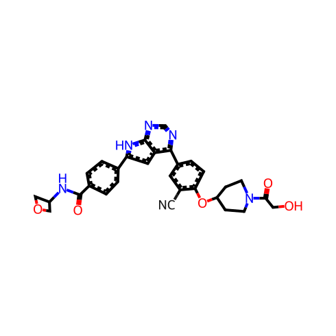 N#Cc1cc(-c2ncnc3[nH]c(-c4ccc(C(=O)NC5COC5)cc4)cc23)ccc1OC1CCN(C(=O)CO)CC1